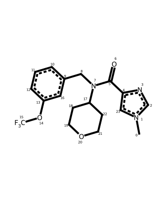 Cn1cnc(C(=O)N(Cc2cccc(OC(F)(F)F)c2)C2CCOCC2)c1